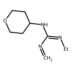 C=N/C(=N\CC)NC1CCOCC1